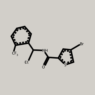 C[CH]C(NC(=O)c1cc(Br)cs1)c1ccccc1C(F)(F)F